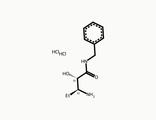 CC[C@H](N)[C@H](O)C(=O)NCc1ccccc1.Cl.Cl